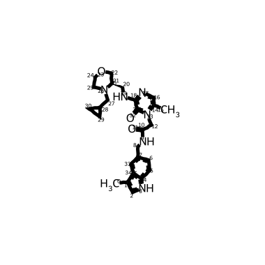 Cc1c[nH]c2ccc(CNC(=O)Cn3c(C)cnc(NC[C@@H]4COCCN4CC4CC4)c3=O)cc12